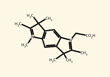 CC1=[N+](C)c2cc3c(cc2C1(C)C)[N+](CC(=O)O)=C(C)C3(C)C